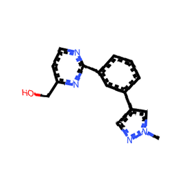 Cn1cc(-c2cccc(-c3nccc(CO)n3)c2)cn1